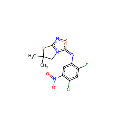 CC1(C)Cn2c(nsc2=Nc2cc([N+](=O)[O-])c(Cl)cc2F)S1